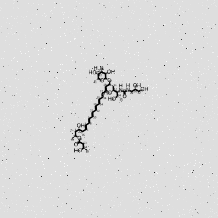 C[C@H]([C@H](O)[C@@H](C)/C=C/C=C/C=C/C=C/C=C/C=C/C=C/[C@@H](C[C@H](O)[C@H](NC(=O)NC[C@H](O)CO)[C@H](C)O)O[C@@H]1O[C@H](C)[C@@H](O)[C@H](N)[C@@H]1O)[C@H](C)OC(=O)C[C@@H](C)O